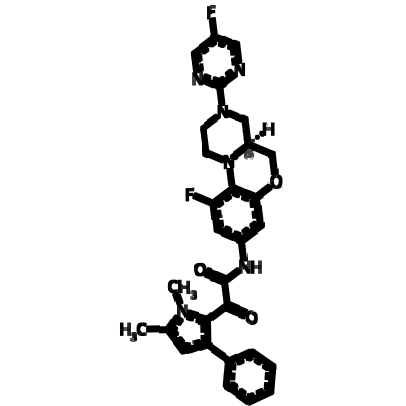 Cc1cc(-c2ccccc2)c(C(=O)C(=O)Nc2cc(F)c3c(c2)OC[C@@H]2CN(c4ncc(F)cn4)CCN32)n1C